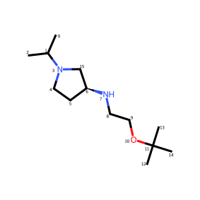 CC(C)N1CC[C@H](NCCOC(C)(C)C)C1